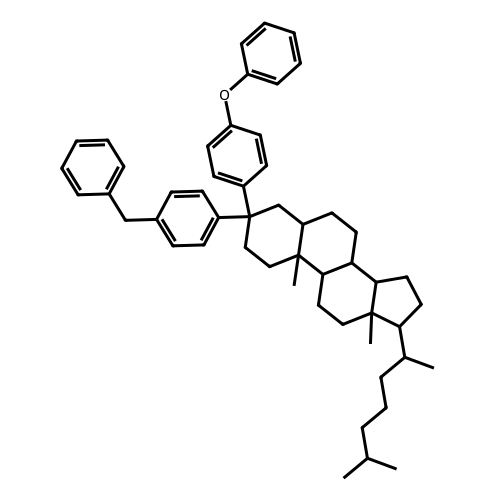 CC(C)CCCC(C)C1CCC2C3CCC4CC(c5ccc(Cc6ccccc6)cc5)(c5ccc(Oc6ccccc6)cc5)CCC4(C)C3CCC12C